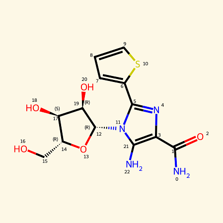 NC(=O)c1nc(-c2cccs2)n([C@@H]2O[C@H](CO)[C@@H](O)[C@H]2O)c1N